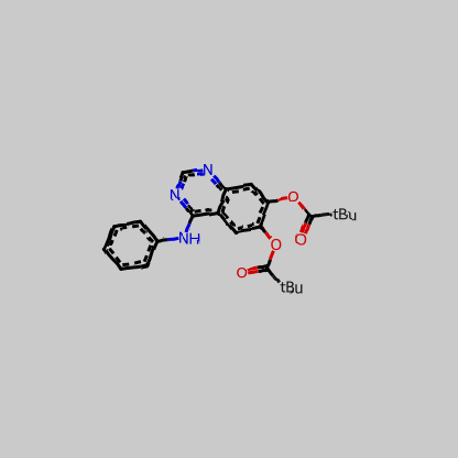 CC(C)(C)C(=O)Oc1cc2ncnc(Nc3ccccc3)c2cc1OC(=O)C(C)(C)C